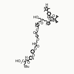 Cc1n[nH]c(C)c1-c1ccc(NC(=O)[C@@H](NC(=O)c2ccnn2CCCN(CCO)C(=O)Cn2cc(COCC(=O)N3CC(OCCNC(=O)COc4cccc(Oc5ccc(C(=O)N[C@@H](CCC(C)(C)C)C(=O)O)cn5)c4)C3)nn2)C(C2CC2)C2CC2)cc1